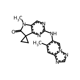 Cc1cc2ncnn2cc1Nc1ncc2c(n1)C1(CC1)C(=O)N2C